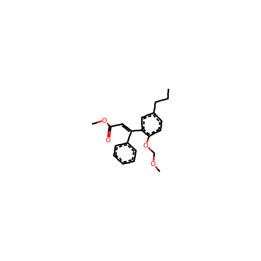 CCCc1ccc(OCOC)c(C(=CC(=O)OC)c2ccccc2)c1